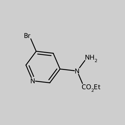 CCOC(=O)N(N)c1cncc(Br)c1